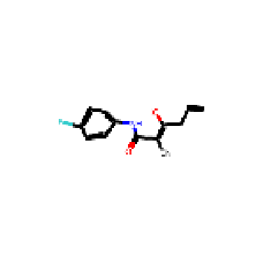 C=CCC(O)=C(C#N)C(=O)Nc1ccc(F)cc1